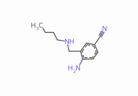 CCCCNCc1cc(C#N)ccc1N